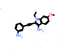 CCn1c(C#Cc2cccc(N)c2)c(N)c2ccc(OC)cc21